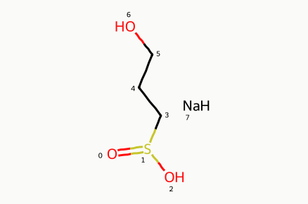 O=S(O)CCCO.[NaH]